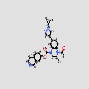 CC(=O)N1c2ccc(-c3cnn(C4CC4)c3)cc2N(C(=O)Oc2ccc3ccncc3c2)C[C@@H]1C